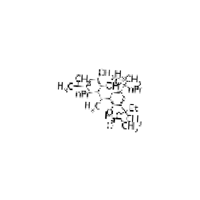 C=CC(=O)Oc1c(C(C)c2cc(C(C)(C)CCC)cc(C)c2O)cc(C(C)(C)CCC)cc1C(C)(C)CC